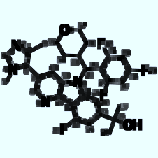 Cc1ncn(C)c1-c1cnc2c3c(F)cc(C(C)(C)O)cc3n(C(c3c(F)cc(F)cc3F)C3CCOCC3)c2c1